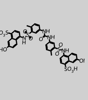 Cc1ccc(NC(=O)Nc2ccc(C)c(S(=O)(=O)Nc3ccc(S(=O)(=O)O)c4cc(O)ccc34)c2)cc1S(=O)(=O)Nc1ccc(S(=O)(=O)O)c2cc(O)ccc12